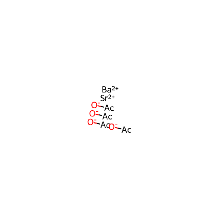 CC(=O)[O-].CC(=O)[O-].CC(=O)[O-].CC(=O)[O-].[Ba+2].[Sr+2]